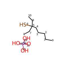 CCCCCC(S)(CC)CC.O=P(O)(O)O